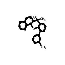 Cc1cccc(-c2cccc3c2Oc2c(ccc4ccccc24)C3(C)C)c1